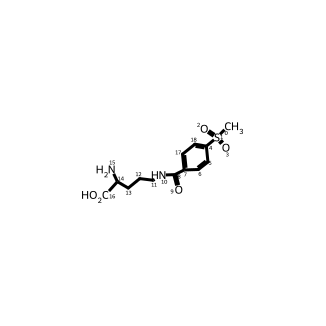 CS(=O)(=O)c1ccc(C(=O)NCCCC(N)C(=O)O)cc1